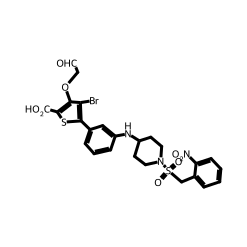 O=CCOc1c(C(=O)O)sc(-c2cccc(NC3CCN(S(=O)(=O)Cc4ccccc4[N+](=O)[O-])CC3)c2)c1Br